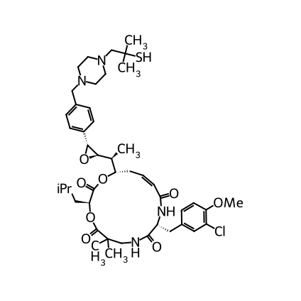 COc1ccc(C[C@H]2NC(=O)C=CC[C@@H]([C@H](C)[C@H]3O[C@@H]3c3ccc(CN4CCN(CC(C)(C)S)CC4)cc3)OC(=O)[C@H](CC(C)C)OC(=O)C(C)(C)CNC2=O)cc1Cl